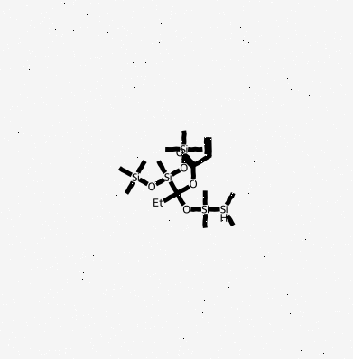 C=CC(=O)OC(CC)(O[Si](C)(C)[SiH](C)C)[Si](C)(O[Si](C)(C)C)O[Si](C)(C)C